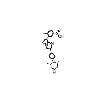 Cc1ccc(S(=O)O)cc1-c1cnn2cc(-c3ccc(N4[C@H](C)CNC[C@@H]4C)cc3)cnc12